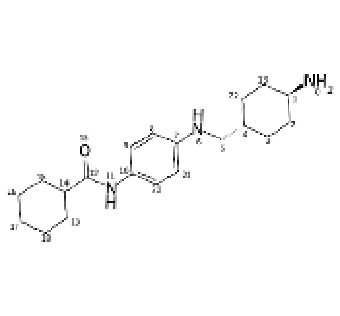 N[C@H]1CC[C@H](CNc2ccc(NC(=O)C3CCCCC3)cc2)CC1